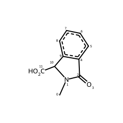 CN1C(=O)c2ccccc2C1C(=O)O